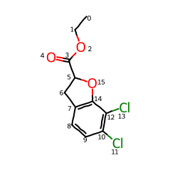 CCOC(=O)C1Cc2ccc(Cl)c(Cl)c2O1